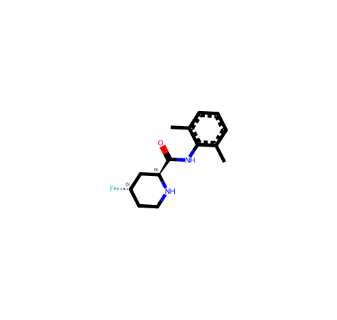 Cc1cccc(C)c1NC(=O)[C@@H]1C[C@@H](F)CCN1